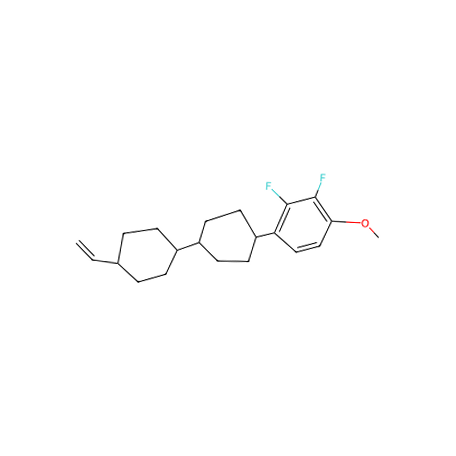 C=CC1CCC(C2CCC(c3ccc(OC)c(F)c3F)CC2)CC1